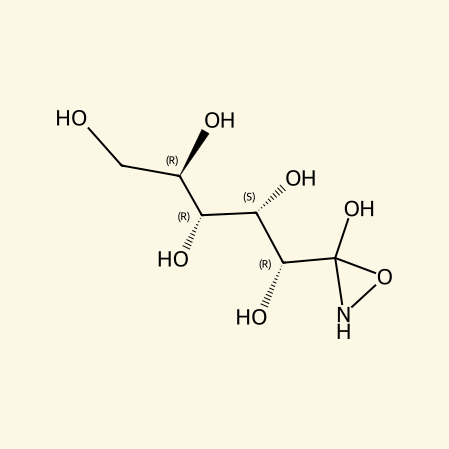 OC[C@@H](O)[C@@H](O)[C@H](O)[C@@H](O)C1(O)NO1